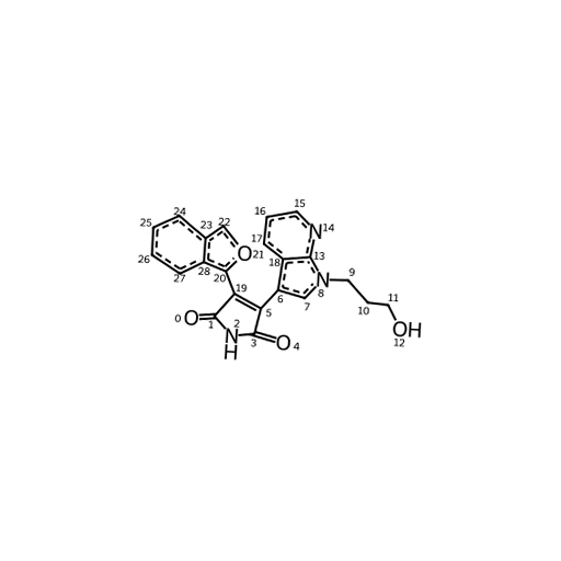 O=C1NC(=O)C(c2cn(CCCO)c3ncccc23)=C1c1occ2ccccc12